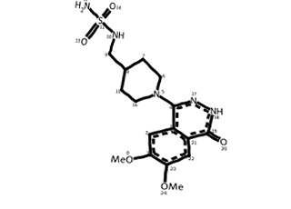 COc1cc2c(N3CCC(CNS(N)(=O)=O)CC3)n[nH]c(=O)c2cc1OC